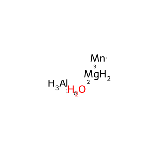 O.[AlH3].[MgH2].[Mn]